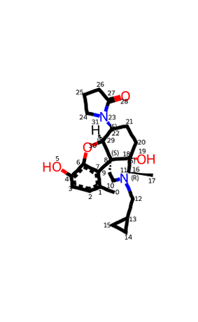 Cc1ccc(O)c2c1[C@]13CCN(CC4CC4)[C@H](C)[C@]1(O)CC[C@H](N1CCCC1=O)[C@@H]3O2